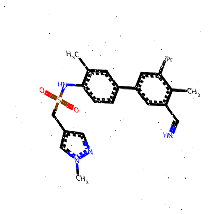 Cc1cc(-c2cc(C=N)c(C)c(C(C)C)c2)ccc1NS(=O)(=O)Cc1cnn(C)c1